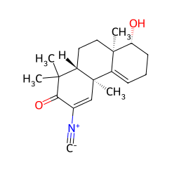 [C-]#[N+]C1=C[C@]2(C)C3=CCC[C@@H](O)[C@]3(C)CC[C@H]2C(C)(C)C1=O